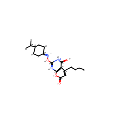 CCCCc1cc(=O)oc2nc(ON=C3CCC(C(C)C)CC3)[nH]c(=O)c12